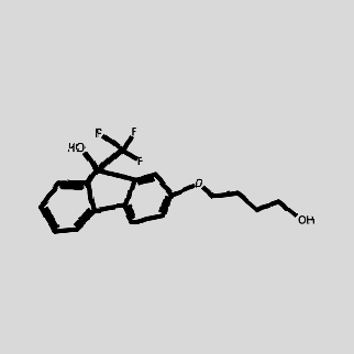 OCCCCOc1ccc2c(c1)C(O)(C(F)(F)F)c1ccccc1-2